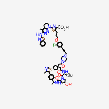 Cc1ncsc1-c1ccc([C@H](C)NC(=O)[C@@H]2C[C@@H](O)CN2C(=O)[C@@H](NC(=O)CC2(CC(=O)N3CCN(CC#Cc4ccc(OCCCc5sc(N6CCCc7c6nnc(Nc6nc8ccccc8s6)c7C)nc5C(=O)O)c(F)c4)CC3)CCCC2)C(C)(C)C)cc1